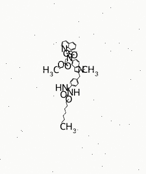 CCCCCCCCOC(=O)NC(=N)c1ccc(Cc2cc3cc(N(CC(=O)OCC)S(=O)(=O)c4cccc5cccnc45)ccc3n2C)cc1